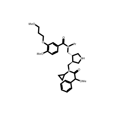 COCCCOc1cc(C(=O)N(C[C@@H]2CNC[C@H]2CN(C(=O)C(OC)c2ccccc2)C2CC2)C(C)C)ccc1OC